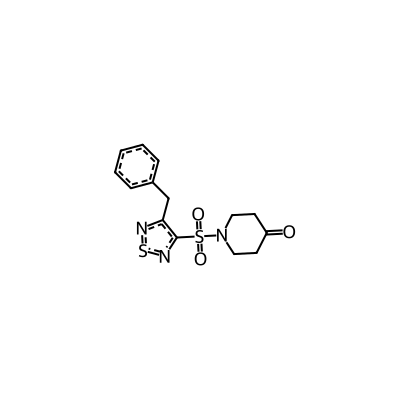 O=C1CCN(S(=O)(=O)c2nsnc2Cc2ccccc2)CC1